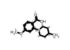 COc1ccc(C(=O)O)c(N2CCC(C)CC2)c1